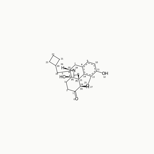 O=C1CC[C@]2(O)[C@@H]3Cc4ccc(O)c5c4[C@]2(CCN3CC2CCC2)[C@@H]1O5